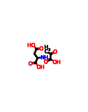 CC(=O)C(=O)O.NC(CC(=O)O)C(=O)O